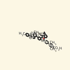 Cc1ccc(S(=O)(=O)n2ccc3c(-c4ccc5nc(N6CCC(N7C[C@@H](C)N(C(=O)O)C[C@@H]7C)CC6)nc(C(CN)(OC6CC6)c6ccccc6F)c5c4)cn(C)c(=O)c32)cc1